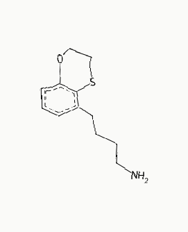 NCCCCc1cccc2c1SCCO2